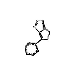 c1ccc(C2=C3N=NN=C3CC2)cc1